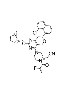 C=C(F)C(=O)N1CCN(c2nc(OC[C@@H]3CCCN3C)nc3c2COC(c2cccc4cccc(Cl)c24)C3)C[C@H]1CC#N